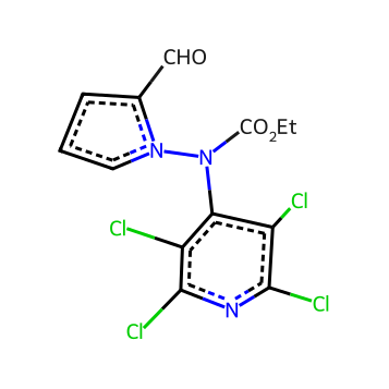 CCOC(=O)N(c1c(Cl)c(Cl)nc(Cl)c1Cl)n1cccc1C=O